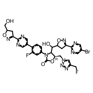 O=C1O[C@H](Cn2cc(CF)nn2)C(C(O)C2CC(c3ncc(Br)cn3)=NO2)N1c1ccc(-c2cnc(C3=NOC(CO)C3)nc2)c(F)c1